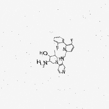 CC1CN(c2ccncc2NCc2ccc(F)c(-c3ccccc3F)n2)CC(N)C1O